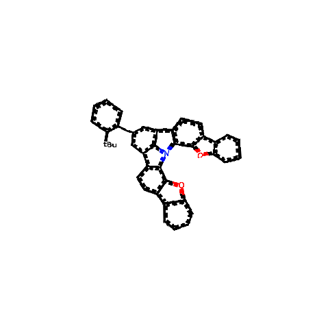 CC(C)(C)c1ccccc1-c1cc2c3ccc4c5ccccc5oc4c3n3c2c(c1)c1ccc2c4ccccc4oc2c13